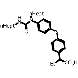 CCCCCCCNC(=O)N(CCCCCCC)c1ccc(Sc2ccc(C(CC)C(=O)O)cc2)cc1